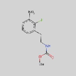 CC(C)(C)OC(=O)NCCc1cccc([N+](=O)[O-])c1F